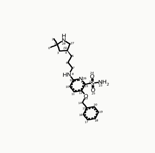 CC1(C)C[C@H](CCCNc2ccc(OCc3ccccc3)c(S(N)(=O)=O)n2)CN1